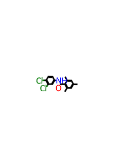 Cc1cc(C)c(C(=O)Nc2ccc(Cl)c(Cl)c2)c(C)c1